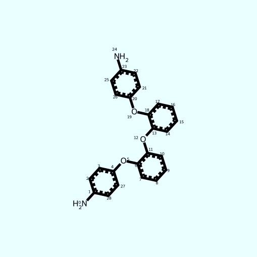 Nc1ccc(Oc2ccccc2Oc2ccccc2Oc2ccc(N)cc2)cc1